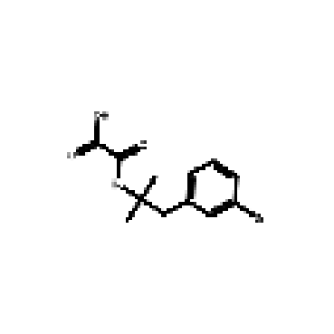 CC(C)(Cc1cccc(Br)c1)NC(=O)C(=O)O